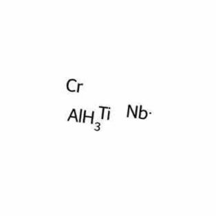 [AlH3].[Cr].[Nb].[Ti]